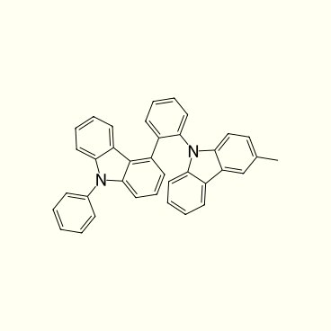 Cc1ccc2c(c1)c1ccccc1n2-c1ccccc1-c1cccc2c1c1ccccc1n2-c1ccccc1